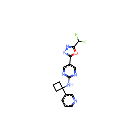 FC(F)c1nnc(-c2cnc(NC3(c4cccnc4)CCC3)nc2)o1